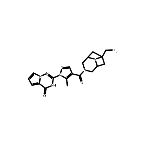 Cc1c(C(=O)N2CC3CC4(CC(F)(F)F)CC(C2)N34)cnn1-c1nn2cccc2c(=O)[nH]1